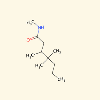 CCCC(C)(C)C(C)CC(=O)NC